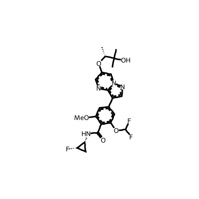 COc1cc(-c2cnn3cc(O[C@H](C)C(C)(C)O)cnc23)cc(OC(F)F)c1C(=O)N[C@@H]1C[C@@H]1F